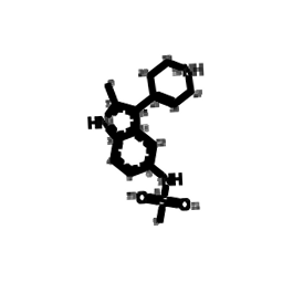 Cc1[nH]c2ccc(NS(C)(=O)=O)cc2c1C1=CCNCC1